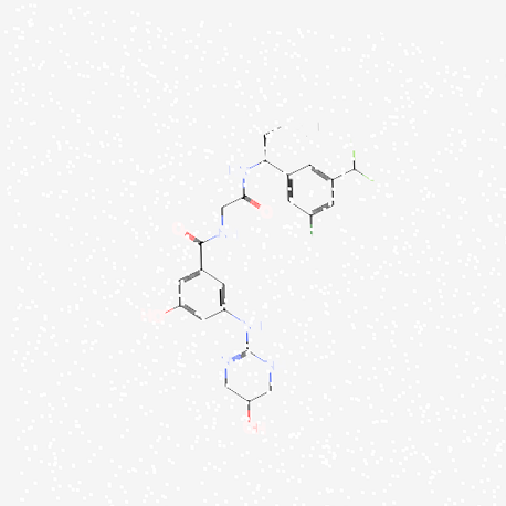 O=C(O)C[C@H](NC(=O)CNC(=O)c1cc(O)cc(NC2=NCC(O)CN2)c1)c1cc(Cl)cc(C(F)F)c1